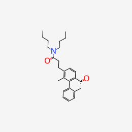 CCCCN(CCCC)C(=O)CCc1ccc([C]=O)c(-c2ccccc2C)c1C